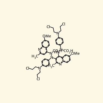 COc1ccc2c(N(C(=O)O)N(c3ccc(N(CCCl)CCCl)cc3)c3c(C)nc4ccc(OC)cc4c3NN(C(=O)O)c3ccc(N(CCCl)CCCl)cc3)cc(C)nc2c1